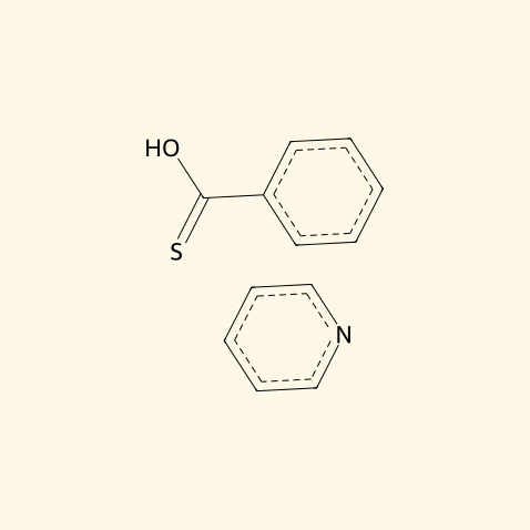 OC(=S)c1ccccc1.c1ccncc1